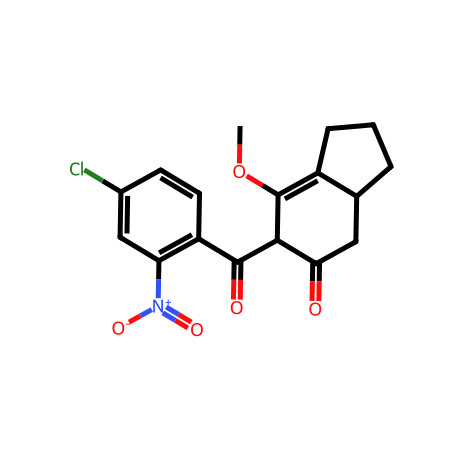 COC1=C2CCCC2CC(=O)C1C(=O)c1ccc(Cl)cc1[N+](=O)[O-]